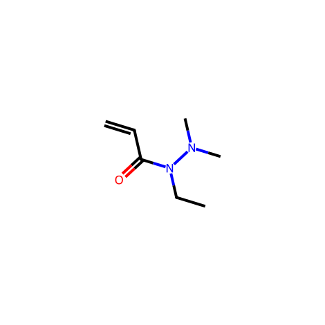 C=CC(=O)N(CC)N(C)C